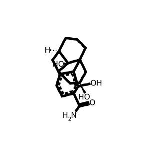 NC(=O)c1ccc2c(c1O)C13CCC[C@H](C2)[C@]1(O)CC[C@H](O)C3